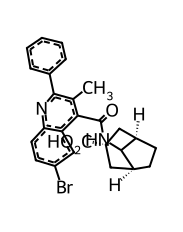 Cc1c(-c2ccccc2)nc2ccc(Br)cc2c1C(=O)NC1[C@@H]2CC[C@H]1C[C@H](C(=O)O)C2